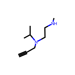 C#CCN(CCNC)C(C)C